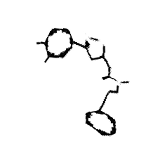 CN(CCc1ccccc1)C(=O)CC1CC(c2ccc(F)c(F)c2)=NO1